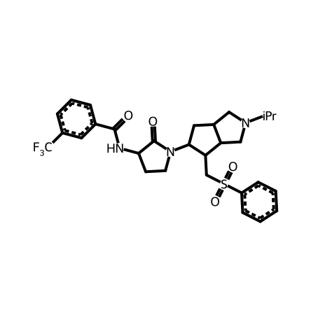 CC(C)N1CC2CC(N3CCC(NC(=O)c4cccc(C(F)(F)F)c4)C3=O)C(CS(=O)(=O)c3ccccc3)C2C1